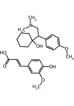 COc1cc(C=CC(=O)O)ccc1O.COc1ccc(C(CN(C)C)C2(O)CCCCC2)cc1